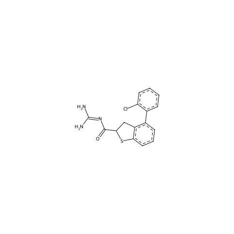 NC(N)=NC(=O)C1Cc2c(cccc2-c2ccccc2Cl)S1